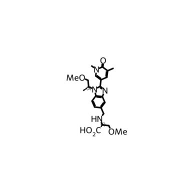 COC[C@H](NCc1ccc2c(c1)nc(-c1cc(C)c(=O)n(C)c1)n2[C@@H](C)COC)C(=O)O